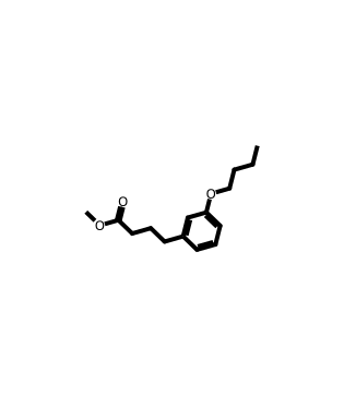 CCCCOc1cccc(CCCC(=O)OC)c1